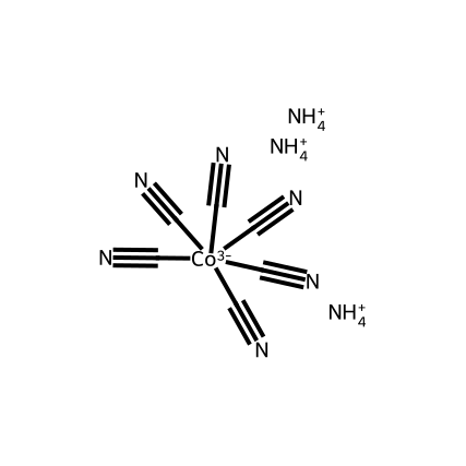 N#[C][Co-3]([C]#N)([C]#N)([C]#N)([C]#N)[C]#N.[NH4+].[NH4+].[NH4+]